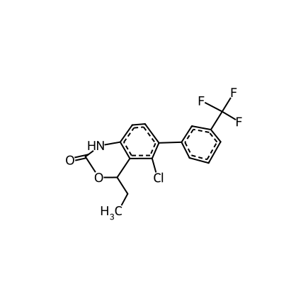 CCC1OC(=O)Nc2ccc(-c3cccc(C(F)(F)F)c3)c(Cl)c21